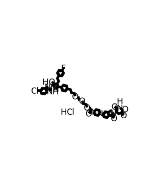 Cl.O=C1CC(N2Cc3cc(N4CCN(C(=O)COCCOCCOCCCc5ccc(-c6nn(-c7nc8cc(Cl)ccc8[nH]7)c(O)c6CCc6ccc(F)cc6)cc5)CC4)ccc3C2=O)C(=O)NC1=O